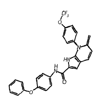 C=C1C=Cc2cc(C(=O)Nc3ccc(Oc4ccccc4)cc3)[nH]c2N1c1ccc(OC(F)(F)F)cc1